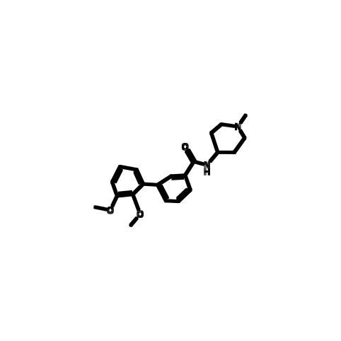 COc1cccc(-c2cccc(C(=O)NC3CCN(C)CC3)c2)c1OC